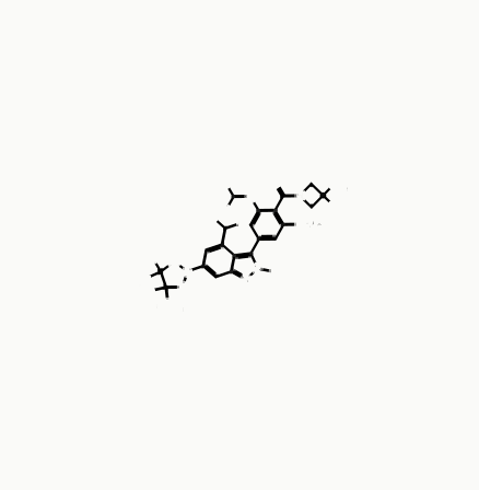 COc1cc(-c2c3c(C(F)F)cc(B4OC(C)(C)C(C)(C)O4)cc3nn2C)cc(OC(F)F)c1C(=O)N1CC(O)(C(F)(F)F)C1